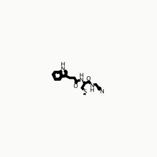 CSCC(NC(=O)CCc1c[nH]c2ccccc12)C(=O)NCC#N